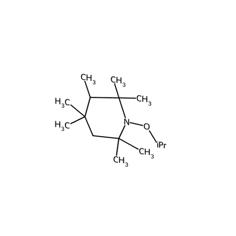 CC(C)ON1C(C)(C)CC(C)(C)C(C)C1(C)C